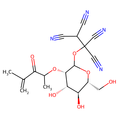 C=C(C)C(=O)C(C)O[C@@H]1C(OC(C#N)(C#N)C(C#N)C#N)O[C@H](CO)[C@@H](O)[C@@H]1O